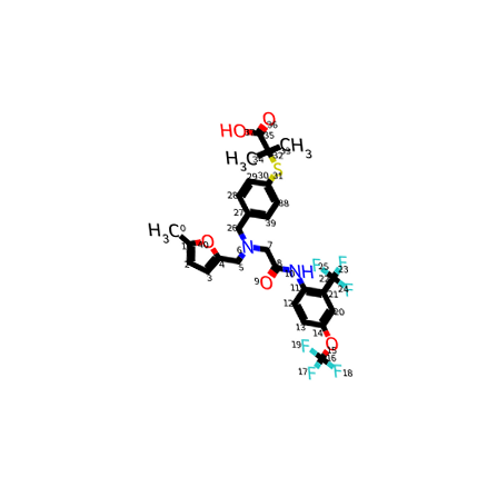 Cc1ccc(CN(CC(=O)Nc2ccc(OC(F)(F)F)cc2C(F)(F)F)Cc2ccc(SC(C)(C)C(=O)O)cc2)o1